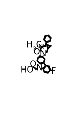 C[C@@H](Cc1ccccc1)C(=O)N(CC1CC1)[C@H]1CCc2c(c3cc(F)ccc3n2CC(=O)O)C1